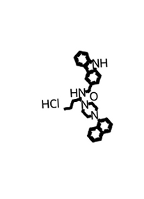 CCCC(NC(=O)c1ccc2[nH]c3ccccc3c2c1)N1CCN(c2cccc3ccccc23)CC1.Cl